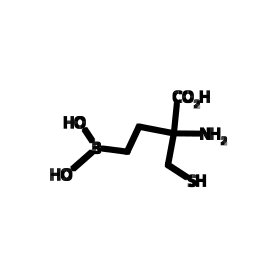 NC(CS)(CCB(O)O)C(=O)O